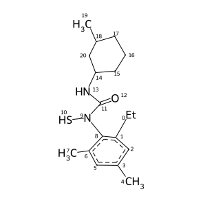 CCc1cc(C)cc(C)c1N(S)C(=O)NC1CCCC(C)C1